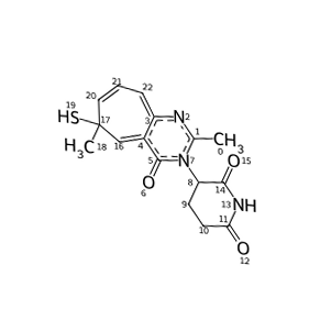 Cc1nc2c(c(=O)n1C1CCC(=O)NC1=O)=CC(C)(S)C=CC=2